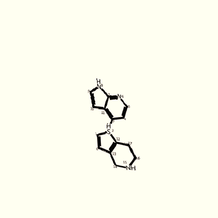 C1=C[SH](c2ccnc3[nH]ccc23)C2=C1CNCC2